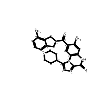 Cc1cc2[nH]c(=O)c3nnc(C4CCOCC4)n3c2cc1C(=O)N1Cc2cccc(C)c2C1